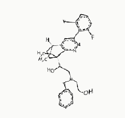 CC1(C)[C@H]2CC[C@]1(C(O)CN(CCO)Cc1ccccc1)c1nnc(-c3c(F)cccc3F)cc12